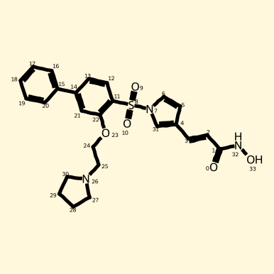 O=C(/C=C/c1ccn(S(=O)(=O)c2ccc(-c3ccccc3)cc2OCCN2CCCC2)c1)NO